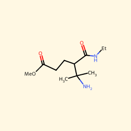 CCNC(=O)C(CCC(=O)OC)C(C)(C)N